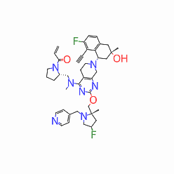 C#Cc1c(F)ccc2c1[C@@H](N1CCc3c(nc(OC[C@]4(C)C[C@@H](F)CN4Cc4ccncc4)nc3N(C)C[C@@H]3CCCN3C(=O)C=C)C1)C[C@@](C)(O)C2